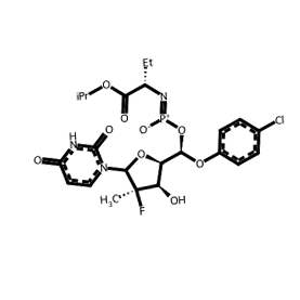 CC[C@H](/N=[P+](\[O-])O[C@@H](Oc1ccc(Cl)cc1)[C@@H]1OC(n2ccc(=O)[nH]c2=O)[C@](C)(F)[C@@H]1O)C(=O)OC(C)C